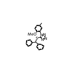 COc1ccc(C)cc1-n1nnnc1SC(c1ccccc1)c1ccccc1